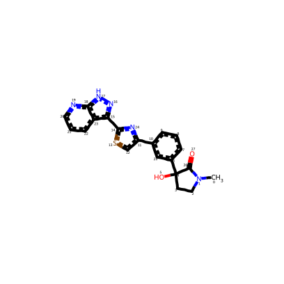 CN1CCC(O)(c2cccc(-c3csc(-c4n[nH]c5ncccc45)n3)c2)C1=O